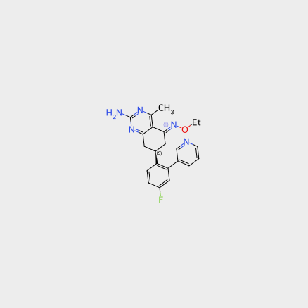 [CH2]CO/N=C1\C[C@@H](c2ccc(F)cc2-c2cccnc2)Cc2nc(N)nc(C)c21